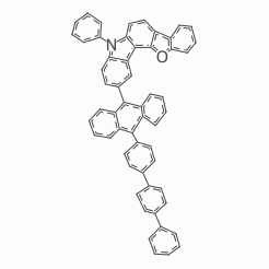 c1ccc(-c2ccc(-c3ccc(-c4c5ccccc5c(-c5ccc6c(c5)c5c7oc8ccccc8c7ccc5n6-c5ccccc5)c5ccccc45)cc3)cc2)cc1